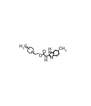 Cc1ccc2nc(NC(=O)OCCN3CCN(C)CC3)[nH]c2c1